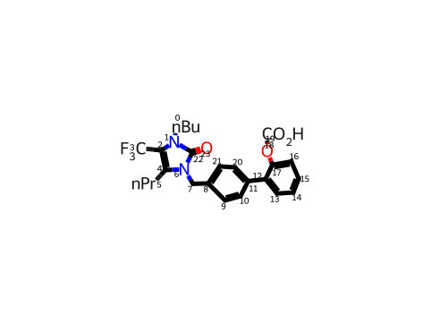 CCCCn1c(C(F)(F)F)c(CCC)n(Cc2ccc(-c3ccccc3OC(=O)O)cc2)c1=O